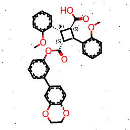 COc1ccccc1C1[C@H](C(=O)O)[C@@H](c2ccccc2OC)[C@H]1C(=O)Oc1cccc(-c2ccc3c(c2)OCCO3)c1